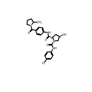 CC1CCCN1C(=O)c1ccc(NC(=O)[C@H]2C[C@@H](O)CN2C(=O)Nc2ccc(Cl)cc2)cc1